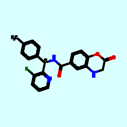 O=C1CNc2cc(C(=O)N[C@@H](c3ccc(C(F)(F)F)cc3)c3ncccc3F)ccc2O1